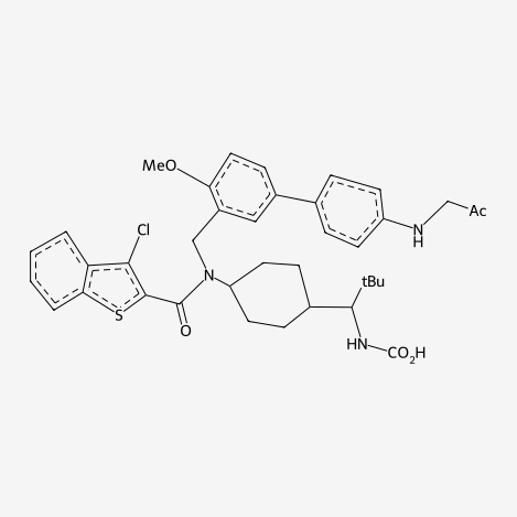 COc1ccc(-c2ccc(NCC(C)=O)cc2)cc1CN(C(=O)c1sc2ccccc2c1Cl)C1CCC(C(NC(=O)O)C(C)(C)C)CC1